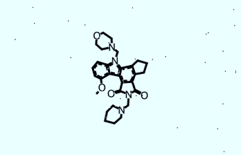 COc1cccc2c1c1c3c(c4c(c1n2CN1CCOCC1)CCC4)C(=O)N(CN1CCCCC1)C3=O